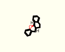 c1ccc2c(c1)C[C@H]1CCc3ccccc3[C@H]1O2